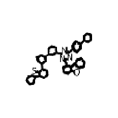 c1ccc(-c2ccc(-c3nc(-c4cccc(-c5cccc(-c6cccc7c6sc6ccccc67)c5)c4)nc(-c4cccc5oc6ccccc6c45)n3)cc2)cc1